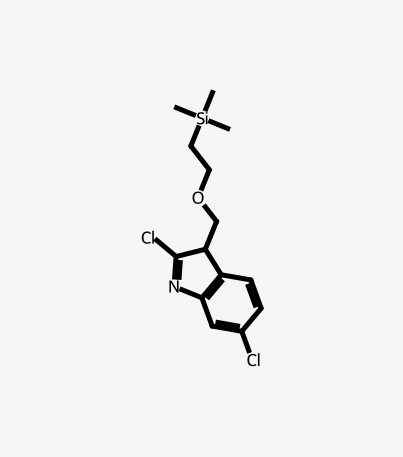 C[Si](C)(C)CCOCC1C(Cl)=Nc2cc(Cl)ccc21